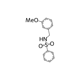 COc1cccc(CNS(=O)(=O)c2ccccc2)c1